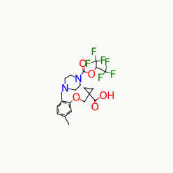 Cc1ccc(CN2CCN(C(=O)OC(C(F)(F)F)C(F)(F)F)CC2)c(OCC2(C(=O)O)CC2)c1